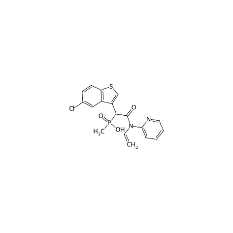 C=CN(C(=O)C(c1csc2ccc(Cl)cc12)P(C)(=O)O)c1ccccn1